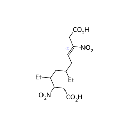 CCC(C/C=C(/CC(=O)O)[N+](=O)[O-])CC(CC)C(CC(=O)O)[N+](=O)[O-]